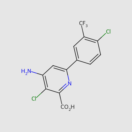 Nc1cc(-c2ccc(Cl)c(C(F)(F)F)c2)nc(C(=O)O)c1Cl